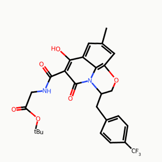 Cc1cc2c3c(c1)c(O)c(C(=O)NCC(=O)OC(C)(C)C)c(=O)n3C(Cc1ccc(C(F)(F)F)cc1)CO2